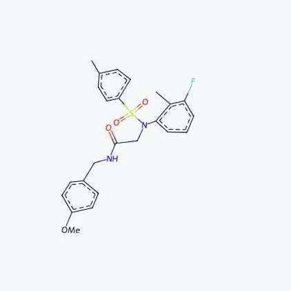 COc1ccc(CNC(=O)CN(c2cccc(F)c2C)S(=O)(=O)c2ccc(C)cc2)cc1